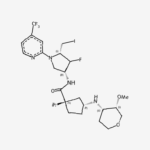 CO[C@@H]1COCC[C@@H]1N[C@@H]1CC[C@@](C(=O)N[C@@H]2CN(c3cc(C(F)(F)F)ccn3)[C@H](CI)C2F)(C(C)C)C1